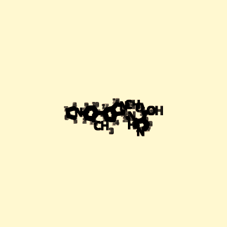 Cc1cc(N2CCCC2)ccc1-c1ccc2c(c1)CN(C)[C@@H]2CNc1cnccc1C(=O)O